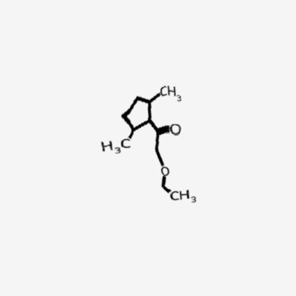 CCOCC(=O)C1C(C)CCC1C